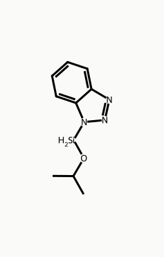 CC(C)O[SiH2]n1nnc2ccccc21